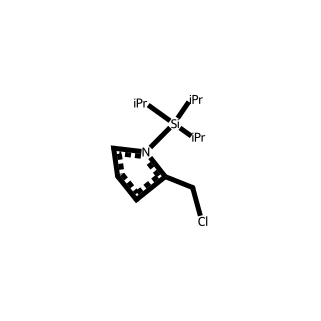 CC(C)[Si](C(C)C)(C(C)C)n1cccc1CCl